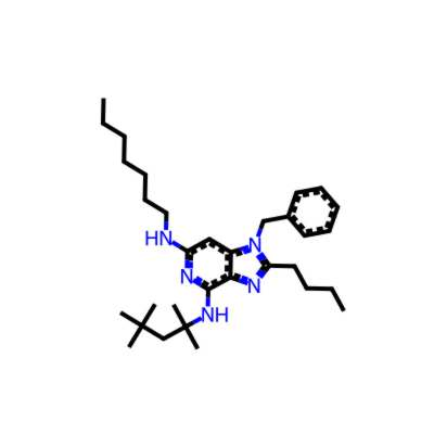 CCCCCCCNc1cc2c(nc(CCCC)n2Cc2ccccc2)c(NC(C)(C)CC(C)(C)C)n1